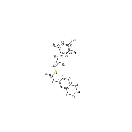 C=C(Cc1ccc2c(c1)CCCC2)S/C=C(\C)Cc1cc(C)c(I)cc1C